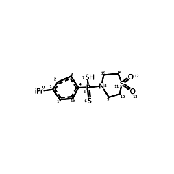 CC(C)c1ccc(P(=S)(S)N2CCS(=O)(=O)CC2)cc1